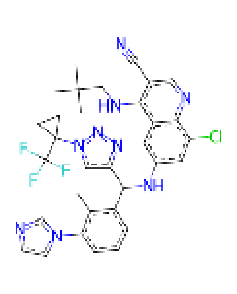 Cc1c(C(Nc2cc(Cl)c3ncc(C#N)c(NCC(C)(C)C)c3c2)c2cn(C3(C(F)(F)F)CC3)nn2)cccc1-n1ccnc1